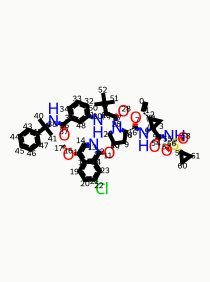 C=C[C@@H]1C[C@]1(NC(=O)[C@@H]1C[C@@H](Oc2ncc(OC)c3ccc(Cl)cc23)CN1C(=O)[C@H](Nc1cccc(C(=O)NC(C)(C)c2ccccc2)c1)C(C)(C)C)C(=O)NS(=O)(=O)C1CC1